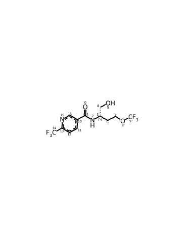 O=C(N[C@H](CO)CCOC(F)(F)F)c1ccc(C(F)(F)F)nc1